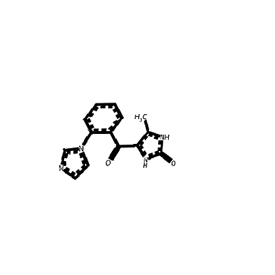 Cc1[nH]c(=O)[nH]c1C(=O)c1ccccc1-n1ccnc1